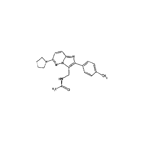 CC(=O)NCc1c(-c2ccc(C)cc2)nc2ccc(N3CCCC3)nn12